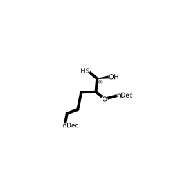 CCCCCCCCCCCCCC(OCCCCCCCCCC)[C@H](O)S